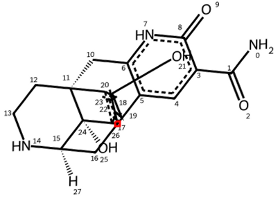 NC(=O)c1cc2c([nH]c1=O)C[C@]13CCN[C@H](Cc4ccc(O)cc41)[C@]3(O)C2